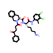 Cc1c(NC(=O)[C@H](CCCCN)NC(=O)[C@@H]2Cc3ccccc3CN2C(=O)CCC(=O)c2ccccc2)ccc(Cl)c1Cl